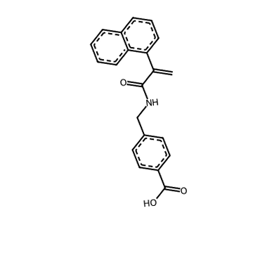 C=C(C(=O)NCc1ccc(C(=O)O)cc1)c1cccc2ccccc12